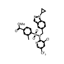 COC(=O)c1ccc(S(=O)(=O)N(Cc2ccc3c(cnn3C3CC3)c2)c2ncc(C(F)(F)F)cc2Cl)c(C)c1